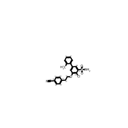 Cc1ccccc1-c1cc(OCCc2ccc(C#N)cc2)c(Cl)c(S(N)(=O)=O)c1